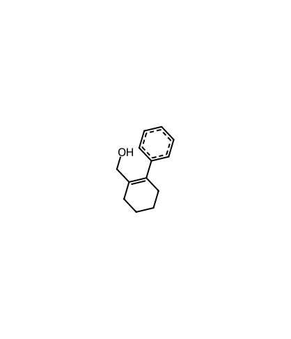 OCC1=C(c2ccccc2)CCCC1